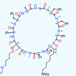 CC[C@@H]1NC(=O)[C@@H]2[C@@H]([C@H](C)CCCCCNC)ON2C(=O)[C@H](C(C)C)N(C)C(=O)[C@H](CC(C)C)N(C)C(=O)[C@H](CC(C)C)N(C)C(=O)[C@@H](C)NC(=O)[C@H](C)NC(=O)[C@H](CC(C)C)N(C)C(=O)[C@H](C(C)C)NC(=O)[C@H]([C@@H](C)OCCCCN2CCOCC2)N(C)C(=O)[C@@H](C)N(C)C1=O